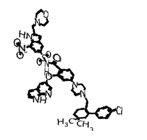 CC1(C)CCC(CN2CCN(c3ccc(C(=O)NS(=O)(=O)c4cc([N+](=O)[O-])c5[nH]c(CN6CCOCC6)cc5c4)c(Oc4cnc5[nH]ccc5c4)c3)CC2)=C(c2ccc(Cl)cc2)C1